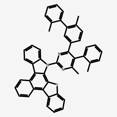 Cc1ccccc1-c1cc(-c2nc(-n3c4ccccc4c4c5ccccc5c5c6ccccc6sc5c43)nc(C)c2-c2ccccc2C)ccc1C